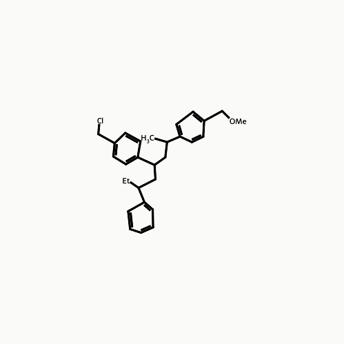 CCC(CC(CC(C)c1ccc(COC)cc1)c1ccc(CCl)cc1)c1ccccc1